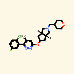 Fc1ccc(Cl)c(-c2nnc(OC3C[C@@H]4CN(CC5CCOCC5)C[C@@H]4C3)cc2C(F)(F)F)c1